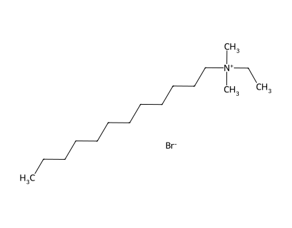 CCCCCCCCCCCC[N+](C)(C)CC.[Br-]